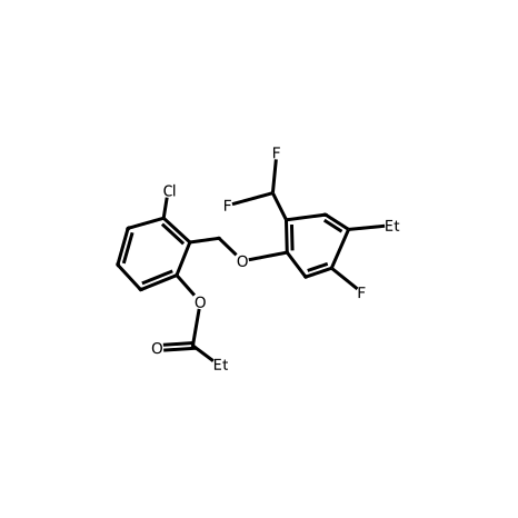 CCC(=O)Oc1cccc(Cl)c1COc1cc(F)c(CC)cc1C(F)F